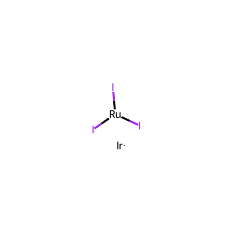 [I][Ru]([I])[I].[Ir]